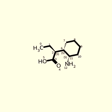 CC[C@H](C(=O)O)[C@@H]1CCCC[C@@H]1N